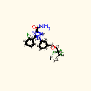 NC(=O)c1nc(-c2ccccc2F)n(-c2cccc(COCC(F)(F)C(F)C(F)(F)F)c2)n1